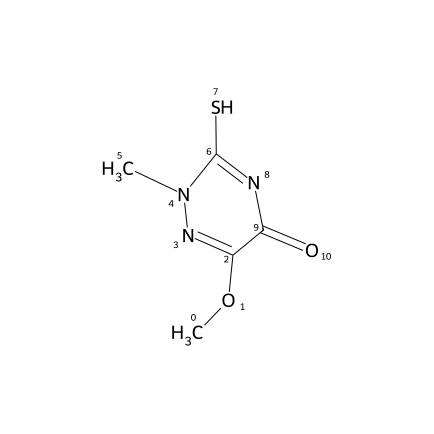 COc1nn(C)c(S)nc1=O